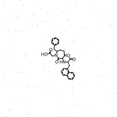 O=C(O)CN1C(=O)C(NC(Cc2cccc3ccccc23)C(=O)O)CSCC1Cc1ccccc1